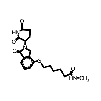 CNC(=O)CCCCCSc1cccc2c1CN(C1CCC(=O)NC1=O)C2=O